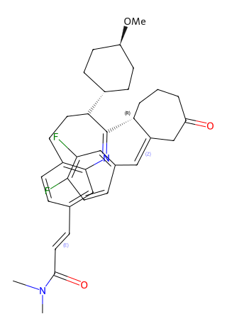 CO[C@H]1CC[C@H](C2CCc3ccc(/C=C/C(=O)N(C)C)cc3N=C2[C@@H]2CCCC(=O)C/C2=C/c2ccc(F)c(F)c2)CC1